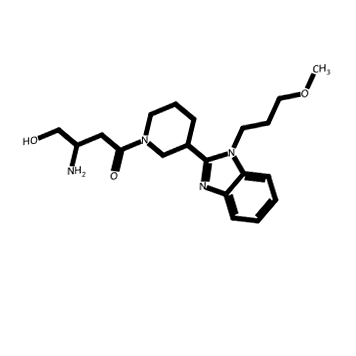 COCCCn1c(C2CCCN(C(=O)CC(N)CO)C2)nc2ccccc21